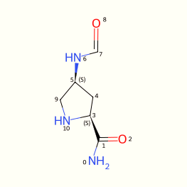 NC(=O)[C@@H]1C[C@H](NC=O)CN1